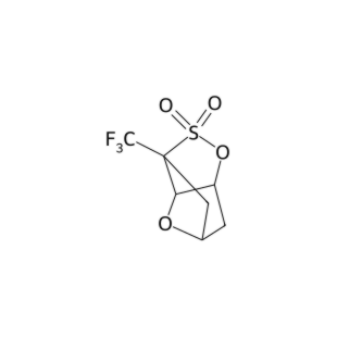 O=S1(=O)OC2CC3CC1(C(F)(F)F)C2O3